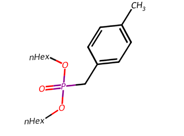 CCCCCCOP(=O)(Cc1ccc(C)cc1)OCCCCCC